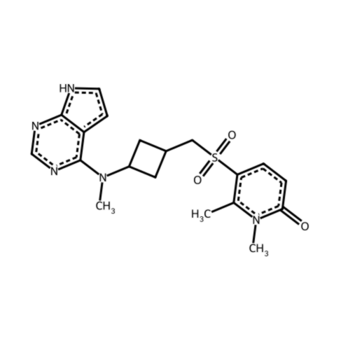 Cc1c(S(=O)(=O)CC2CC(N(C)c3ncnc4[nH]ccc34)C2)ccc(=O)n1C